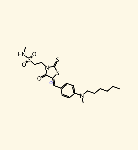 CCCCCCN(C)c1ccc(/C=C2\SC(=S)N(CCS(=O)(=O)NC)C2=O)cc1